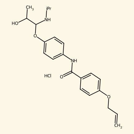 C=CCOc1ccc(C(=O)Nc2ccc(OC(NC(C)C)C(C)O)cc2)cc1.Cl